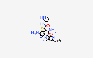 Cc1cc(CC(C)C)ncc1C1(N)C(=O)C(N)c2c(C(=O)NC3CCCNC3)sc3c(N)ccc1c23